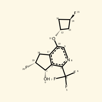 O[C@H]1c2c(C(F)(F)F)ncc(O[C@H]3C[C@H](F)C3)c2C[C@H]1F